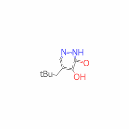 CC(C)(C)Cc1cn[nH]c(=O)c1O